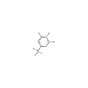 Cc1cc(S(C)(C)C)cc(C)c1C